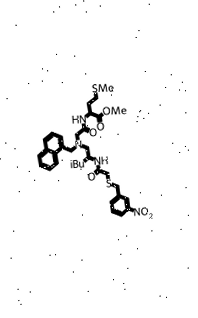 CCC(C)C(CN(CC(=O)NC(CCSC)C(=O)OC)Cc1cccc2ccccc12)NC(=O)CSCc1cccc([N+](=O)[O-])c1